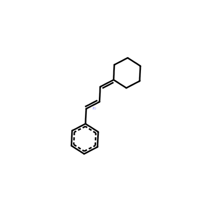 C(/C=C/c1ccccc1)=C1CCCCC1